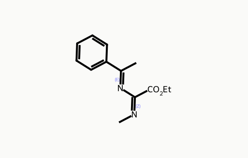 CCOC(=O)C(=N/C)/N=C(\C)c1ccccc1